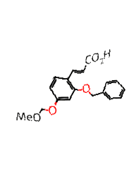 COCOc1ccc(C=CC(=O)O)c(OCc2ccccc2)c1